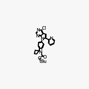 CC(C)(C)OC(=O)NC1(c2ccc(-n3c(-c4ccccn4)cc4c(Cl)ncnc43)cc2)CCC1